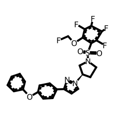 O=S(=O)(c1c(F)c(F)c(F)c(F)c1OCF)N1CC[C@@H](n2ccc(-c3ccc(Oc4ccccc4)cc3)n2)C1